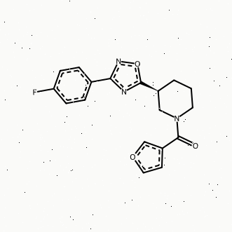 O=C(c1ccoc1)N1CCC[C@H](c2nc(-c3ccc(F)cc3)no2)C1